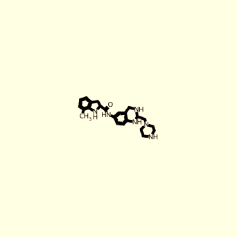 Cc1cccc2c1NC(C(=O)Nc1ccc3c(c1)CNC(CN1CCNCC1)N3)C2